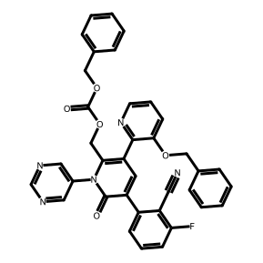 N#Cc1c(F)cccc1-c1cc(-c2ncccc2OCc2ccccc2)c(COC(=O)OCc2ccccc2)n(-c2cncnc2)c1=O